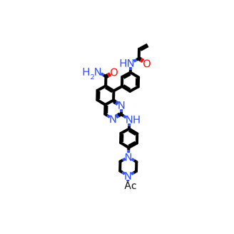 C=CC(=O)Nc1cccc(-c2c(C(N)=O)ccc3cnc(Nc4ccc(N5CCN(C(C)=O)CC5)cc4)nc23)c1